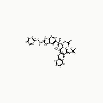 CC(C)CN(C[C@@H](O)[C@H](Cc1ccccc1)NC(=O)OC(C)(C)C)S(=O)(=O)c1ccc2nc(NCc3ccccn3)sc2c1